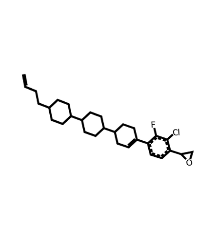 C=CCCC1CCC(C2CCC(C3CC=C(c4ccc(C5CO5)c(Cl)c4F)CC3)CC2)CC1